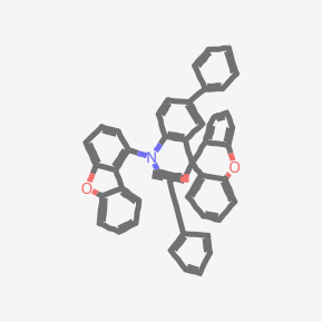 c1ccc(-c2ccc3c(c2)C2(c4ccccc4Oc4ccccc42)c2cc(-c4ccccc4)ccc2N3c2cccc3oc4ccccc4c23)cc1